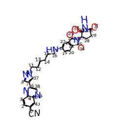 N#Cc1ccc2nc(-c3cnn(CCCCCCNc4ccc5c(c4)C(=O)N(C4CCC(=O)NC4=O)C5=O)c3)cnc2c1